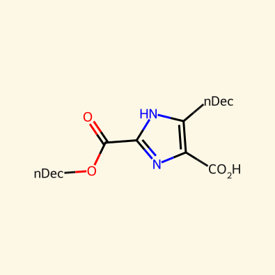 CCCCCCCCCCOC(=O)c1nc(C(=O)O)c(CCCCCCCCCC)[nH]1